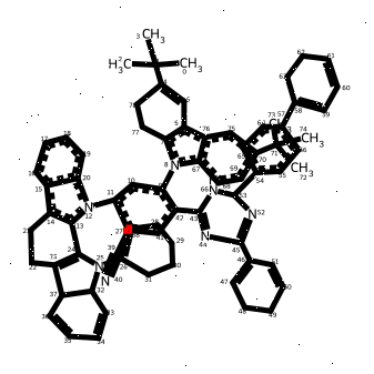 CC(C)(C)C1=Cc2c(n(-c3cc(-n4c5c(c6ccccc64)CCC4=C5N(C5=CCCCC5)C5C=CC=CC45)c(C#N)cc3C3=NC(C4=CCCC=C4)=NC(c4ccc(C5=CC=CCC5)cc4)N3)c3ccc(C(C)(C)C)cc23)CC1